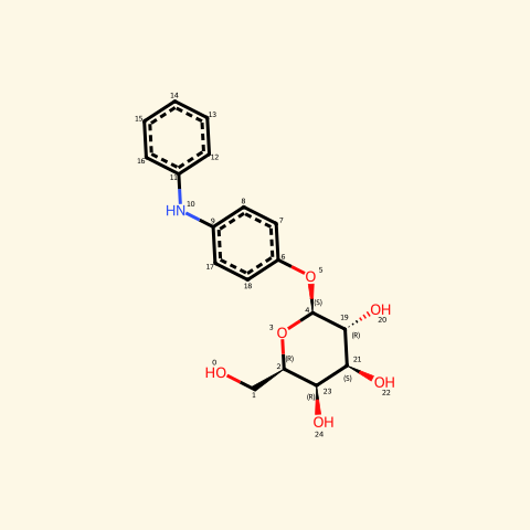 OC[C@H]1O[C@@H](Oc2ccc(Nc3ccccc3)cc2)[C@H](O)[C@@H](O)[C@H]1O